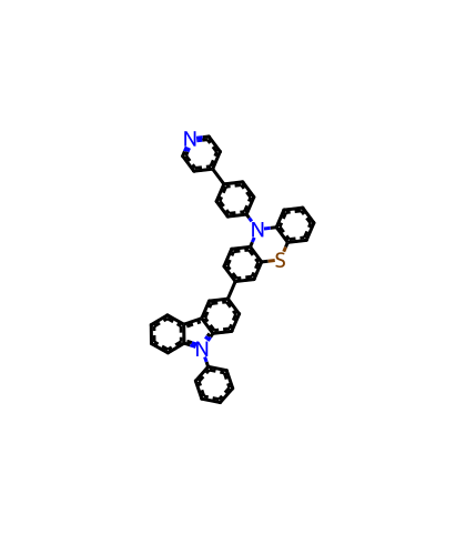 c1ccc(-n2c3ccccc3c3cc(-c4ccc5c(c4)Sc4ccccc4N5c4ccc(-c5ccncc5)cc4)ccc32)cc1